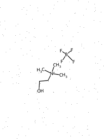 C[N+](C)(C)CCO.F[B-](F)(F)F